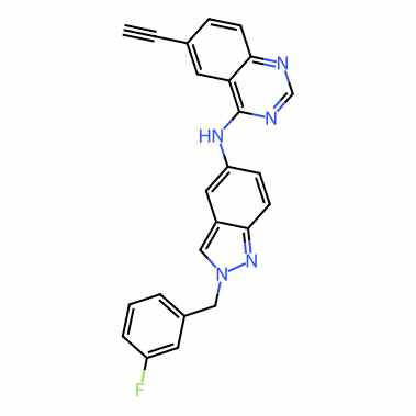 C#Cc1ccc2ncnc(Nc3ccc4nn(Cc5cccc(F)c5)cc4c3)c2c1